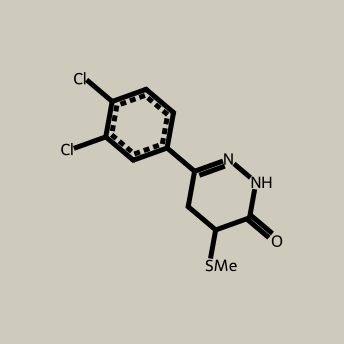 CSC1CC(c2ccc(Cl)c(Cl)c2)=NNC1=O